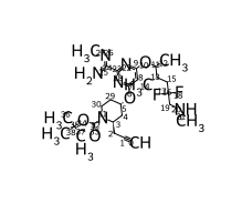 C#CC[C@@H]1C[C@@H](Oc2cc(O[C@@H](C)[C@@H](C)CC(F)(F)CNC)nc(/C(N)=N/C)n2)CCN1C(=O)OC(C)(C)C